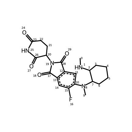 CNC1CCCCC1N(C)c1cc2c(cc1F)C(=O)N(C1CCC(=O)NC1=O)C2=O